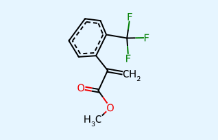 C=C(C(=O)OC)c1ccccc1C(F)(F)F